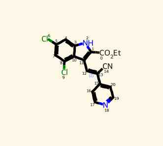 CCOC(=O)c1[nH]c2cc(Cl)cc(Cl)c2c1/C=C(\C#N)c1ccncc1